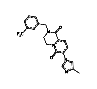 Cc1cn(-c2ccc3n(c2=O)CCN(Cc2cccc(C(F)(F)F)c2)C3=O)cn1